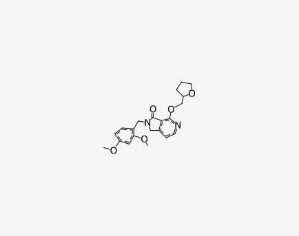 COc1ccc(CN2Cc3ccnc(OCC4CCCO4)c3C2=O)c(OC)c1